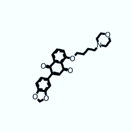 O=C1C(c2ccc3c(c2)OCO3)=CC(=O)c2c(OCCCCN3CCOCC3)cccc21